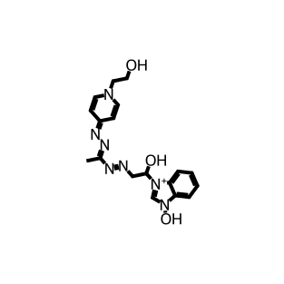 CC(N=NCC(O)[n+]1cn(O)c2ccccc21)=NN=c1ccn(CCO)cc1